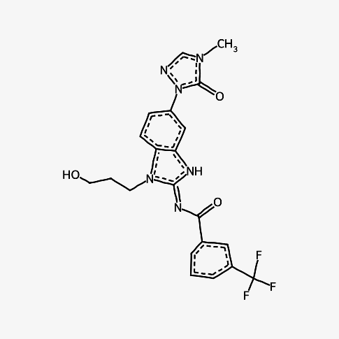 Cn1cnn(-c2ccc3c(c2)[nH]/c(=N\C(=O)c2cccc(C(F)(F)F)c2)n3CCCO)c1=O